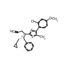 C#CCN(c1nc(-c2ccc(OC)cc2Cl)c(C)s1)[C@@H](CC1CC1)c1ccccc1